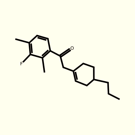 CCCC1CC=C(CC(=O)c2ccc(C)c(F)c2C)CC1